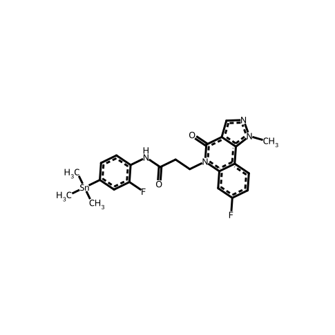 Cn1ncc2c(=O)n(CCC(=O)Nc3cc[c]([Sn]([CH3])([CH3])[CH3])cc3F)c3cc(F)ccc3c21